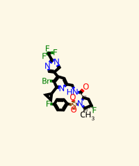 C[C@H]1[C@H](F)C[C@@H](C(=O)NCc2cc(-c3cnc(C(F)(F)F)nc3)c(Br)c(C3CC3)n2)N1S(=O)(=O)c1ccc(F)cc1